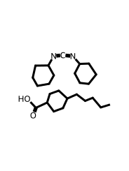 C(=NC1CCCCC1)=NC1CCCCC1.CCCCCC1CCC(C(=O)O)CC1